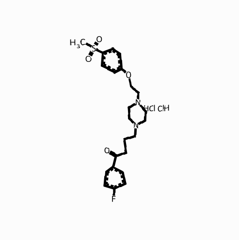 CS(=O)(=O)c1ccc(OCCN2CCN(CCCC(=O)c3ccc(F)cc3)CC2)cc1.Cl.Cl